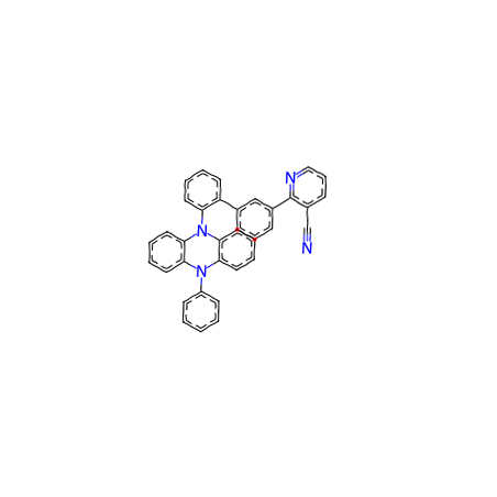 N#Cc1cccnc1-c1cccc(-c2ccccc2N2c3ccccc3N(c3ccccc3)c3ccccc32)c1